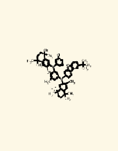 Cc1cc(N(c2cccc(Cl)c2)c2cc3c(cc2C)C(C)(C)CCC3(C)C)cc(N(c2ccc3c(c2)oc2ccc(C(C)(C)C)cc23)c2cc3c(cc2C)C(C)(C)CCC3(C)C)c1